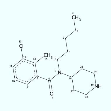 CCCCCN(C(=O)c1cccc(Cl)c1C)C1CCNCC1